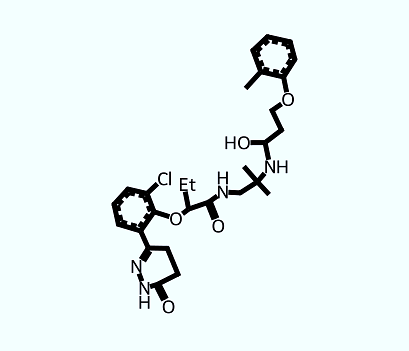 CCC(Oc1c(Cl)cccc1C1=NNC(=O)CC1)C(=O)NCC(C)(C)NC(O)CCOc1ccccc1C